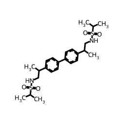 CC(CNS(=O)(=O)C(C)C)c1ccc(-c2ccc(C(C)CNS(=O)(=O)C(C)C)cc2)cc1